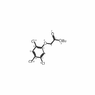 CC(C)COC(=O)COc1cc(Cl)c(Cl)cc1Cl